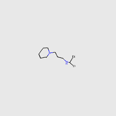 CCC(CC)NCCCN1CCCCC1